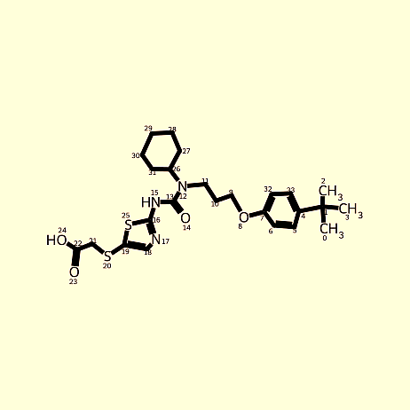 CC(C)(C)c1ccc(OCCCN(C(=O)Nc2ncc(SCC(=O)O)s2)C2CCCCC2)cc1